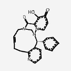 O=C1c2c(O)c(=O)ccn2N2CN1C/C=C\CCc1ncccc1[C@H]2c1ccccc1